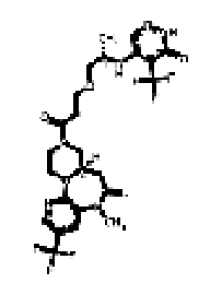 C[C@@H](COCCC(=O)N1CCN2c3ncc(C(F)(F)F)cc3N(C)C(=O)C[C@H]2C1)Nc1cn[nH]c(=O)c1C(F)(F)F